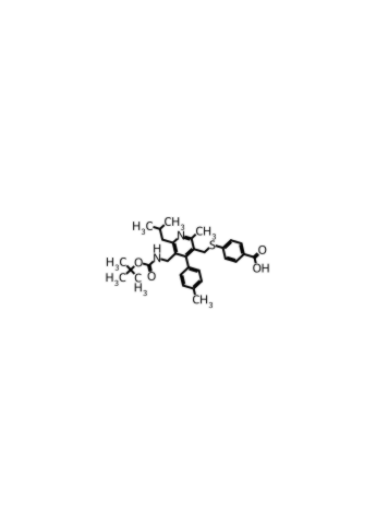 Cc1ccc(-c2c(CSc3ccc(C(=O)O)cc3)c(C)nc(CC(C)C)c2CNC(=O)OC(C)(C)C)cc1